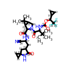 CC(C)(C)C(NC(=O)OC(C1CC1)C(F)(F)F)C(=O)N1CC2C(C1C(=O)NC(C#N)CC1CC3(CC3)NC1=O)C2(C)C